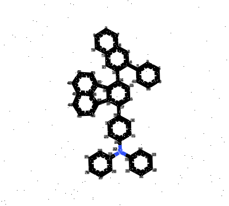 c1ccc(-c2cc3ccccc3cc2-c2ccc(-c3ccc(N(c4ccccc4)c4ccccc4)cc3)c3c2-c2cccc4cccc-3c24)cc1